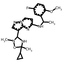 COc1ccc(F)cc1C(C)Nc1ccn2ncc(C3NC(C)(C4CC4)ON3C)c2n1